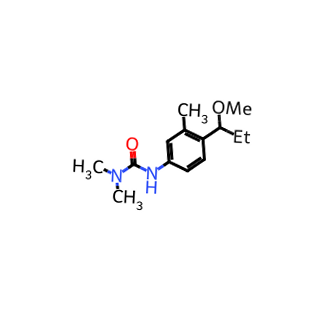 CCC(OC)c1ccc(NC(=O)N(C)C)cc1C